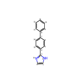 [c]1c[nH]c(-c2ccc(-c3ccccc3)cc2)n1